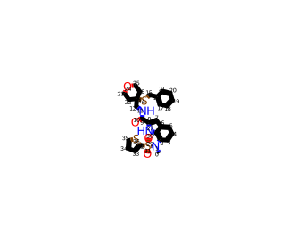 CN(c1cccc2cc(C(=O)NCC3(SCc4ccccc4)CCOCC3)[nH]c12)S(=O)(=O)c1cccs1